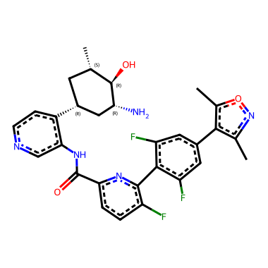 Cc1noc(C)c1-c1cc(F)c(-c2nc(C(=O)Nc3cnccc3[C@H]3C[C@@H](N)[C@H](O)[C@@H](C)C3)ccc2F)c(F)c1